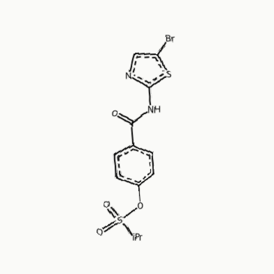 CC(C)S(=O)(=O)Oc1ccc(C(=O)Nc2ncc(Br)s2)cc1